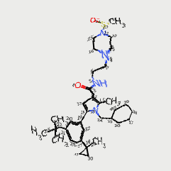 Cc1c(C(=O)NCCN2CCN([S+](C)[O-])CC2)cc(-c2cc(C(C)(C)C)cc(C3(C)CC3)c2)n1CC1CCCCC1